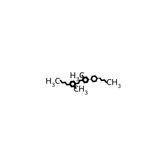 CCCCCc1ccc(CCc2ccc([C@H]3CC[C@H](CCCCC)CC3)cc2C)c(C)c1